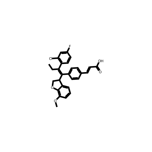 CC/C(=C(/c1ccc(/C=C/C(=O)O)cc1)C1COc2c(OC)cccc21)c1ccc(F)cc1Cl